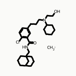 O=C(NCC12CCCC(CCC1)C2)c1cc(CCCN(CCO)C2CCCCC2)ccc1Cl.[CH2]